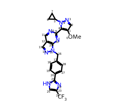 COc1cnn(C2CC2)c1-c1ncc2cnn(Cc3ccc(-c4nc(C(F)(F)F)c[nH]4)cc3)c2n1